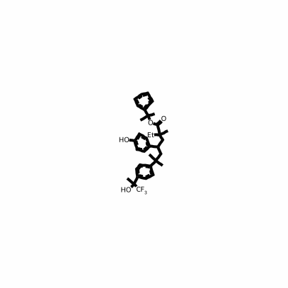 CCC(C)(CC(CC(C)(C)c1ccc(C(C)(O)C(F)(F)F)cc1)c1ccc(O)cc1)C(=O)OC(C)(C)c1ccccc1